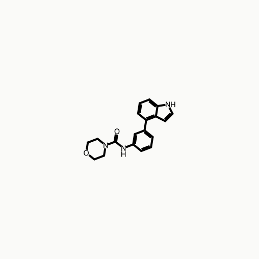 O=C(Nc1cccc(-c2cccc3[nH]ccc23)c1)N1CCOCC1